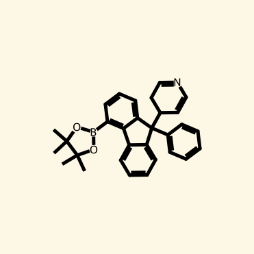 CC1(C)OB(c2cccc3c2-c2ccccc2C3(c2ccccc2)C2C=CN=CC2)OC1(C)C